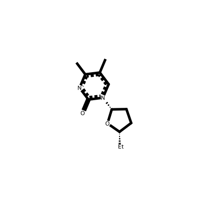 CC[C@H]1CC[C@@H](n2cc(C)c(C)nc2=O)O1